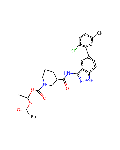 CC(OC(=O)N1CCC[C@@H](C(=O)Nc2n[nH]c3ccc(-c4cc(C#N)ccc4Cl)cc23)C1)OC(=O)C(C)(C)C